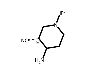 CC(C)N1CCC(N)[C@H](C#N)C1